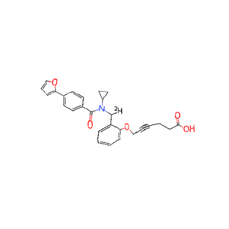 [2H]C(c1ccccc1OCC#CCCC(=O)O)N(C(=O)c1ccc(-c2ccco2)cc1)C1CC1